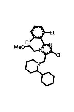 CCc1cccc(CC)c1-c1nc(Cl)c(CN2CCCCC2C2CCCCC2)n1CCOC